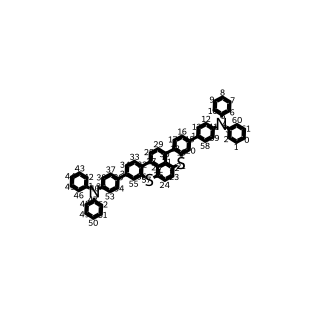 c1ccc(N(c2ccccc2)c2ccc(-c3ccc4c(c3)Sc3ccc5c6c(ccc-4c36)-c3ccc(-c4ccc(N(c6ccccc6)c6ccccc6)cc4)cc3S5)cc2)cc1